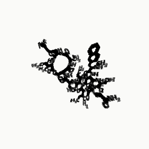 CC[C@H](C)[C@H](NC(=O)[C@@H](Cc1ccc2ccccc2c1)NC)C(=O)N[C@@H](CO)C(=O)N[C@H](CCC(N)=O)C(=O)N[C@@H](C(=O)N[C@H](C(=O)N[C@@H](CO)C(=O)N[C@H]1C(=O)N[C@@H](C)C(=O)NC2(CC2CC(F)F)C(=O)N[C@@H]([C@@H](C)CC)C(=O)O[C@H]1C)[C@@H](C)CC)[C@@H](C)CC